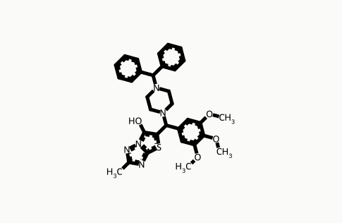 COc1cc(C(c2sc3nc(C)nn3c2O)N2CCN(C(c3ccccc3)c3ccccc3)CC2)cc(OC)c1OC